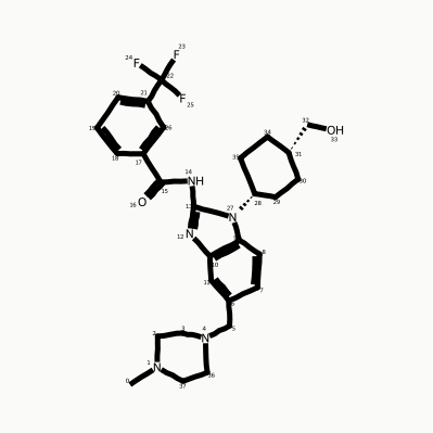 CN1CCN(Cc2ccc3c(c2)nc(NC(=O)c2cccc(C(F)(F)F)c2)n3[C@H]2CC[C@@H](CO)CC2)CC1